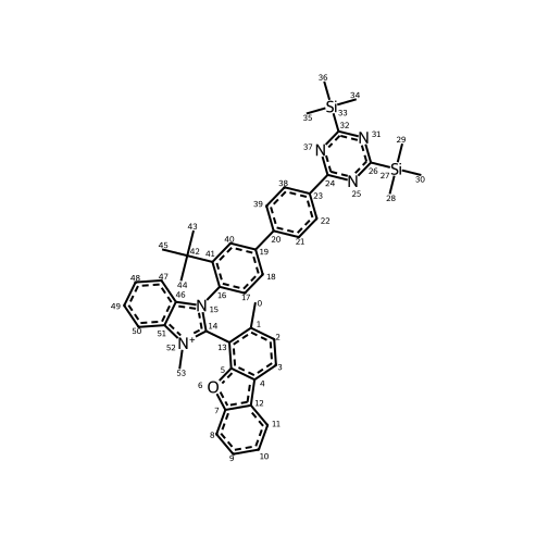 Cc1ccc2c(oc3ccccc32)c1-c1n(-c2ccc(-c3ccc(-c4nc([Si](C)(C)C)nc([Si](C)(C)C)n4)cc3)cc2C(C)(C)C)c2ccccc2[n+]1C